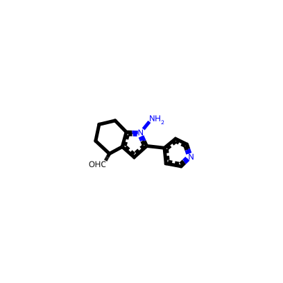 Nn1c(-c2ccncc2)cc2c1CCCC2C=O